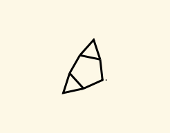 [CH]1C2CC2C2CC12